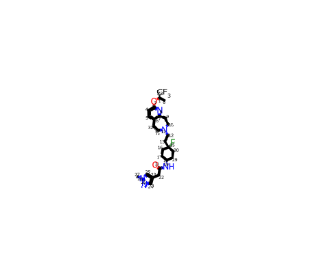 C[C@@H](Oc1ccc2c(n1)CCN(CC[C@]1(F)CC[C@@H](NC(=O)Cc3cnn(C)c3)CC1)CC2)C(F)(F)F